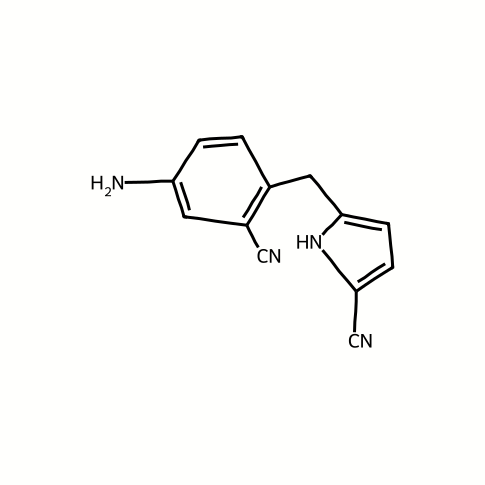 N#Cc1ccc(Cc2ccc(N)cc2C#N)[nH]1